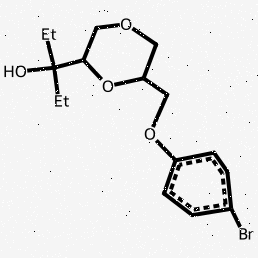 CCC(O)(CC)C1COCC(COc2ccc(Br)cc2)O1